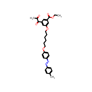 CCOC(=O)c1cc(OCCCCCCOc2ccc(/N=N/c3ccc(C)cc3)cc2)cc(C(=O)C(C)=O)c1